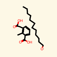 CCCCCCCCCCCC[O].Cc1c(C(=O)O)cccc1C(=O)O